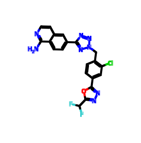 Nc1nccc2cc(-c3nnn(Cc4ccc(-c5nnc(C(F)F)o5)cc4Cl)n3)ccc12